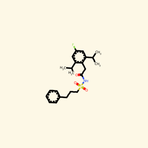 CC(C)c1cc(F)cc(C(C)C)c1CC(=O)NS(=O)(=O)CCCc1ccccc1